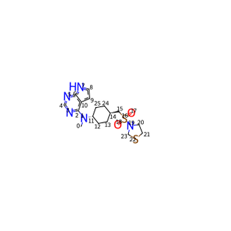 CN(c1ncnc2[nH]ccc12)[C@H]1CC[C@H](CS(=O)(=O)N2CCSC2)CC1